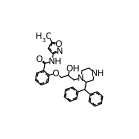 Cc1cc(NC(=O)c2ccccc2OCC(O)CN2CCNCC2C(c2ccccc2)c2ccccc2)no1